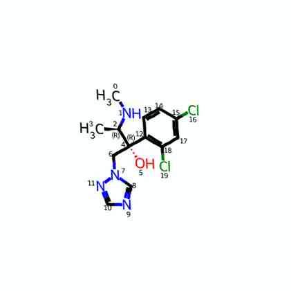 CN[C@H](C)[C@](O)(Cn1cncn1)c1ccc(Cl)cc1Cl